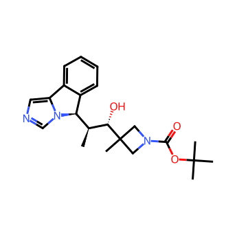 C[C@@H]([C@@H]1c2ccccc2-c2cncn21)[C@H](O)C1(C)CN(C(=O)OC(C)(C)C)C1